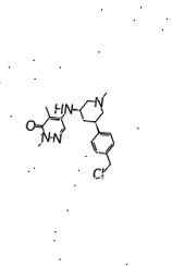 Cc1c(N[C@@H]2C[C@H](c3ccc(CCl)cc3)CN(C)C2)cnn(C)c1=O